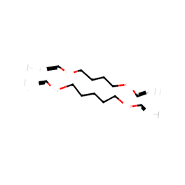 C=COCCCCCOC=C.C=COCCCCOC=C